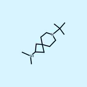 C[SH](C)C1CC2(CCN(C(C)(C)C)CC2)C1